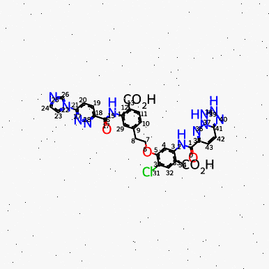 O=C(Nc1cc(OCCc2ccc(C(=O)O)c(NC(=O)c3ccc(-n4ccnc4)nn3)c2)c(Cl)cc1C(=O)O)C1=NN2NNN=C2C=C1